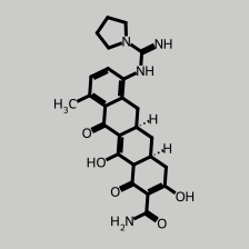 Cc1ccc(NC(=N)N2CCCC2)c2c1C(=O)C1=C(O)C3C(=O)C(C(N)=O)=C(O)C[C@@H]3C[C@@H]1C2